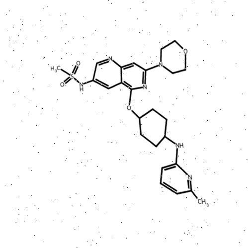 Cc1cccc(NC2CCC(Oc3nc(N4CCOCC4)cc4ncc(NS(C)(=O)=O)cc34)CC2)n1